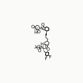 CC(C)(C)OC(=O)N[C@@H](Cc1ccc(F)c(F)c1)C(=O)N1CCC(CCC#Cc2cccc3c2CN(C2CCC(=O)NC2=O)C3=O)CC1